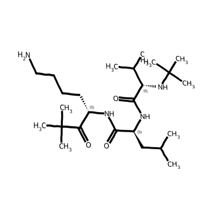 CC(C)C[C@H](NC(=O)[C@@H](NC(C)(C)C)C(C)C)C(=O)N[C@@H](CCCCN)C(=O)C(C)(C)C